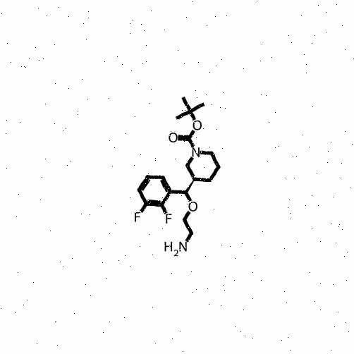 CC(C)(C)OC(=O)N1CCC[C@@H](C(OCCN)c2cccc(F)c2F)C1